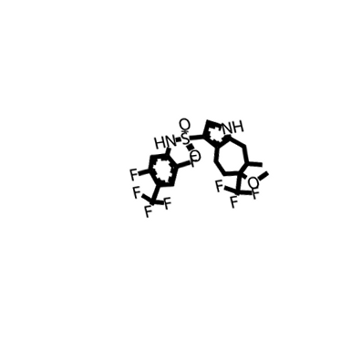 COC1(C(F)(F)F)CCc2c(S(=O)(=O)Nc3cc(F)c(C(F)(F)F)cc3F)c[nH]c2CC1C